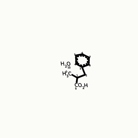 CC(Cc1ccccc1)C(=O)O.O